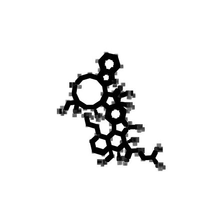 CCCN1CC=C[C@]2(CC)C1C1c3cc(/C4=C(\C(=O)OC)c5[nH]c6ccccc6c5CCNCC(O)(CC)C[C@H]4C)c(OC)cc3N(C)C1[C@@](O)(C(=O)NC[C@H](C)O)[C@@H]2O